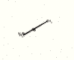 CCCCCCC=CCCCCCCCCCCCC(=O)OCCCCCCCCCCCC(C)CC